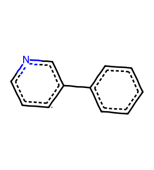 [c]1ccncc1-c1ccccc1